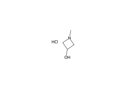 CN1CC(O)C1.Cl